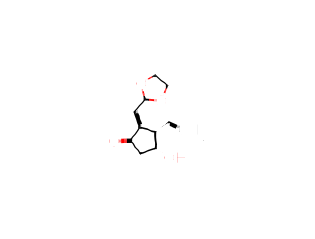 C=C[C@@H]1/C(=C\C2OCCO2)C(=O)C[C@H]1O